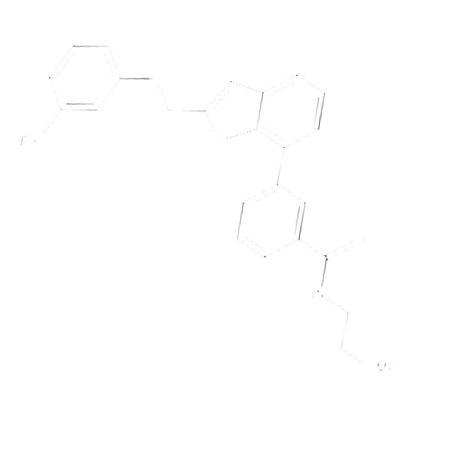 COCCNC(=O)c1cccc(-c2cccc3cc(COc4cccc(C(F)(F)F)c4)sc23)c1